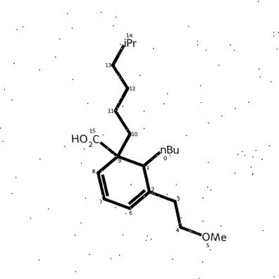 CCCCC1C(CCOC)=CC=CC1(CCCCC(C)C)C(=O)O